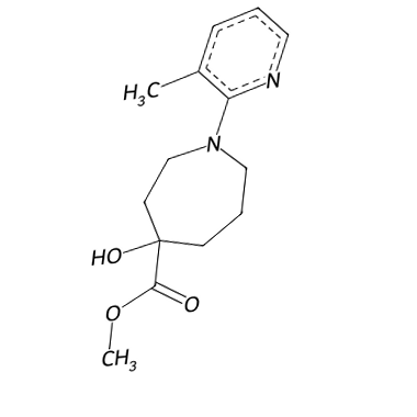 COC(=O)C1(O)CCCN(c2ncccc2C)CC1